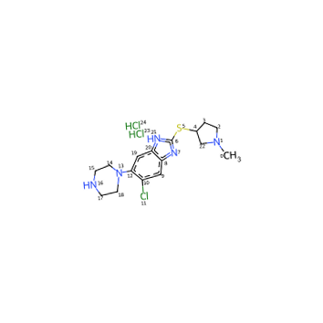 CN1CCC(Sc2nc3cc(Cl)c(N4CCNCC4)cc3[nH]2)C1.Cl.Cl